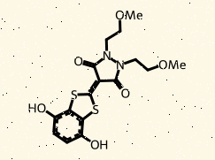 COCCN1C(=O)C(=C2Sc3c(O)ccc(O)c3S2)C(=O)N1CCOC